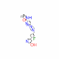 CCCNC(=O)c1ccc(N2CCN(Cc3ccc(-c4cncc(O)c4)c(F)c3)CC2)nn1